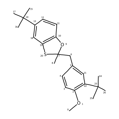 COc1ccc(CC2(C)Oc3ccc(C(C)(C)C)cc3S2)cc1C(C)(C)C